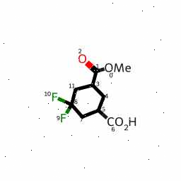 COC(=O)C1CC(C(=O)O)CC(F)(F)C1